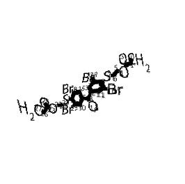 C=CC(=O)OCCSc1c(Br)cc(C(=O)c2cc(Br)c(SCCOC(=O)C=C)c(Br)c2)cc1Br